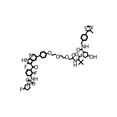 Cc1ncsc1-c1ccc(CNC(=O)[C@H]2C[C@H](O)CN2C(=O)[C@@H](NC(=O)COCCOCCOc2ccc(-c3cnc4[nH]cc(C(=O)c5c(F)ccc(NS(=O)(=O)N6CC[C@@H](F)C6)c5F)c4c3)cc2)C(C)(C)C)cc1